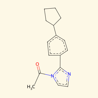 CC(=O)n1ccnc1-c1ccc(C2CCCC2)cc1